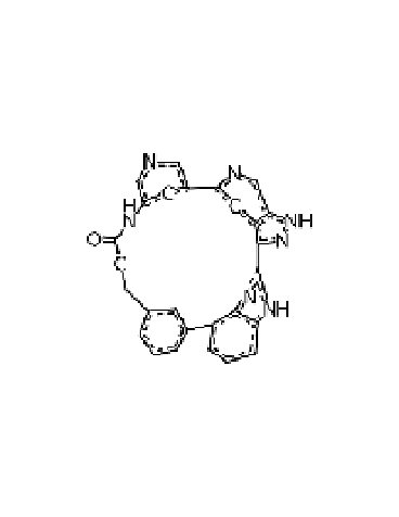 O=C1CCc2cccc(c2)-c2cccc3[nH]c(nc23)-c2n[nH]c3cnc(cc23)-c2cncc(c2)N1